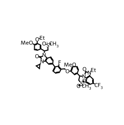 CCOc1cc(C(C[S+](C)[O-])n2c(=O)n(C3CC3)c3cc(-c4cccc(COc5cc(C(CS(C)(=O)=O)n6c(=O)n(CC)c7cc(C(F)(F)F)ccc76)ccc5OC)c4F)ccc32)ccc1OC